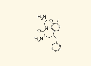 Cc1ccc2c(c1)N(CC(N)=O)C(=O)C(N)CC2Cc1ccccc1